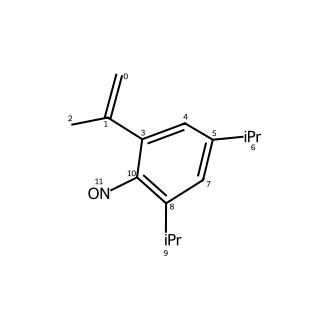 C=C(C)c1cc(C(C)C)cc(C(C)C)c1N=O